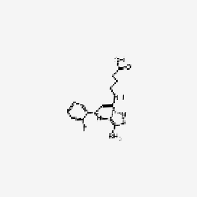 Bc1cnn2c(NCCCC(=O)O)cc(-c3ccccc3F)nc12